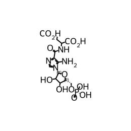 Nc1c(C(=O)NC(CC(=O)O)C(=O)O)ncn1[C@@H]1O[C@H](COP(=O)(O)O)C(O)C1O